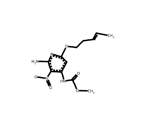 C/C=C/CCOc1cc(NC(=O)OC)c([N+](=O)[O-])c(N)n1